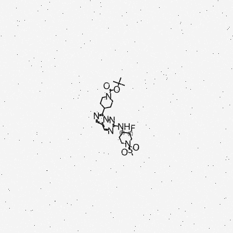 CC(C)(C)OC(=O)N1CCC(c2ncc3cnc(N[C@@H]4CCN(S(C)(=O)=O)C[C@H]4F)nn23)CC1